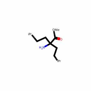 COC(=O)C(N)(CCC(C)C)CCC(C)C